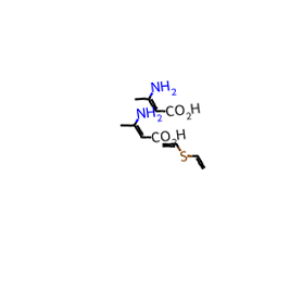 C=CSC=C.CC(N)=CC(=O)O.CC(N)=CC(=O)O